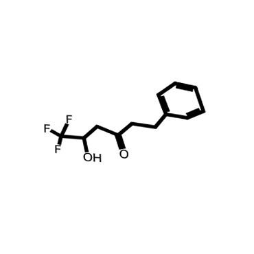 O=C(CCc1ccccc1)CC(O)C(F)(F)F